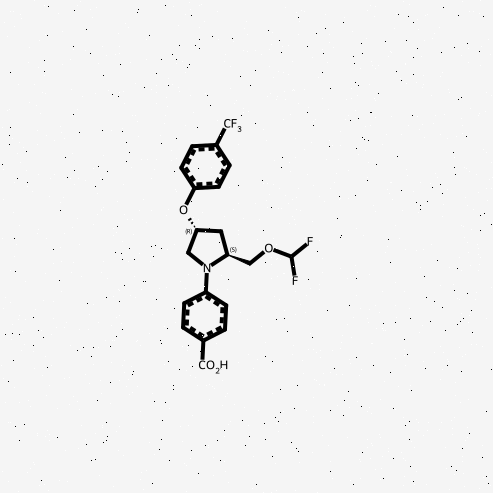 O=C(O)c1ccc(N2C[C@H](Oc3ccc(C(F)(F)F)cc3)C[C@H]2COC(F)F)cc1